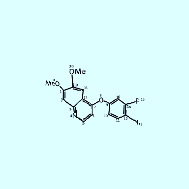 COc1cc2nccc(Oc3ccc(I)c(F)c3)c2cc1OC